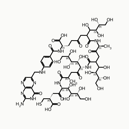 C[C@H](CC(=O)[C@@H](NC(=O)C(CC(=O)[C@H](C)NC(=O)C(CC(=O)CC[C@H](NC(=O)c1ccc(NCc2cnc3nc(N)[nH]c(=O)c3n2)cc1)C(=O)O)C(O)[C@H](O)[C@H](O)CO)C(O)[C@H](O)[C@H](O)CO)[C@@H](O)[C@H](O)[C@H](O)CO)C(=O)N[C@H](C(=O)C[C@@H](CS)C(=O)O)[C@@H](O)[C@H](O)[C@H](O)CO